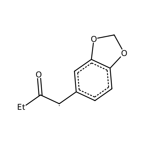 CCC(=O)[CH]c1ccc2c(c1)OCO2